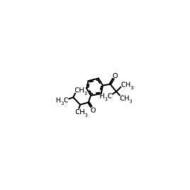 CC(C)C(C)C(=O)c1cccc(C(=O)C(C)(C)C)c1